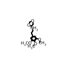 C1COCO1.COc1cc(CCN)cc(OC)c1OC